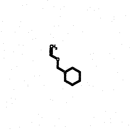 C=COCN1CCCCC1